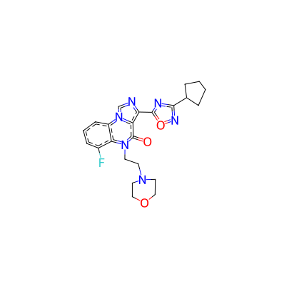 O=c1c2c(-c3nc(C4CCCC4)no3)ncn2c2cccc(F)c2n1CCN1CCOCC1